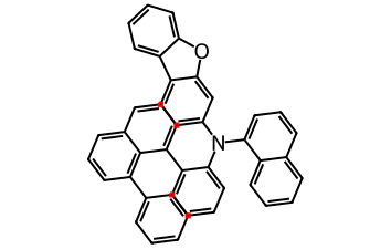 c1ccc(-c2cccc3cccc(-c4ccccc4N(c4ccc5c(c4)oc4ccccc45)c4cccc5ccccc45)c23)cc1